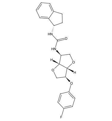 O=C(N[C@H]1CCc2ccccc21)N[C@H]1CO[C@H]2[C@@H]1OC[C@@H]2Oc1ccc(F)cc1